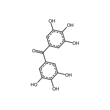 O=C(c1cc(O)c(O)c(O)c1)c1cc(O)c(O)c(O)c1